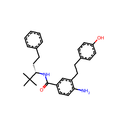 CC(C)(C)[C@H](CCc1ccccc1)NC(=O)c1ccc(N)c(CCc2ccc(O)cc2)c1